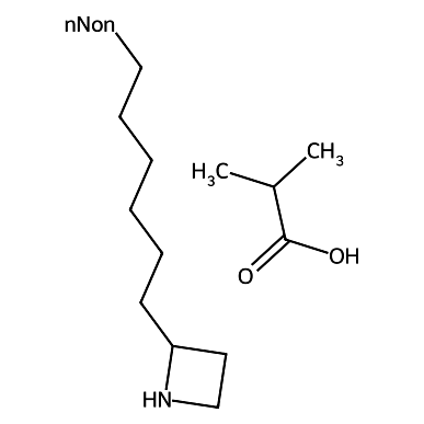 CC(C)C(=O)O.CCCCCCCCCCCCCCCC1CCN1